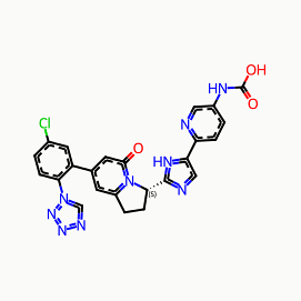 O=C(O)Nc1ccc(-c2cnc([C@@H]3CCc4cc(-c5cc(Cl)ccc5-n5cnnn5)cc(=O)n43)[nH]2)nc1